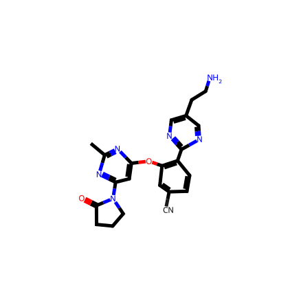 Cc1nc(Oc2cc(C#N)ccc2-c2ncc(CCN)cn2)cc(N2CCCC2=O)n1